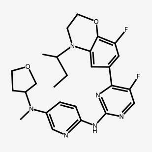 CCC(C)N1CCOc2c(F)cc(-c3nc(Nc4ccc(N(C)C5CCOC5)cn4)ncc3F)cc21